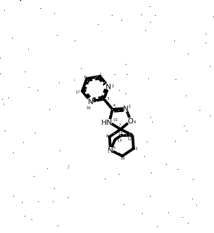 c1cnc(C2=NOC3(CN4CCC3CC4)N2)nc1